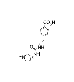 CN1CC[C@@H](NC(=O)NCCc2ccc(C(=O)O)cc2)C1